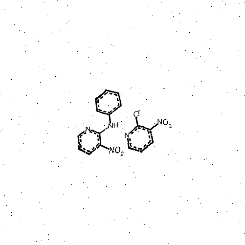 O=[N+]([O-])c1cccnc1Cl.O=[N+]([O-])c1cccnc1Nc1ccccc1